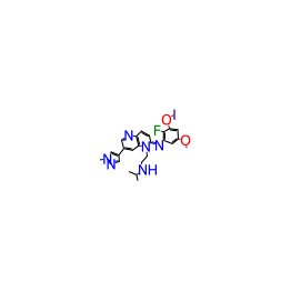 COc1cc(/N=c2\ccc3ncc(-c4cnn(C)c4)cc3n2CCNC(C)C)c(F)c(OI)c1